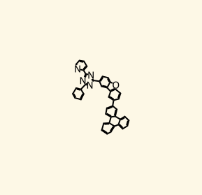 c1ccc(-c2nc(-c3ccc4oc5ccc(-c6ccc7c8ccccc8c8ccccc8c7c6)cc5c4c3)nc(-c3ccccn3)n2)cc1